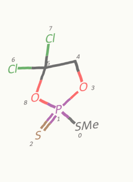 CSP1(=S)OCC(Cl)(Cl)O1